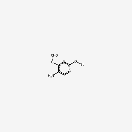 CCOc1ccc(N)c(OC=O)n1